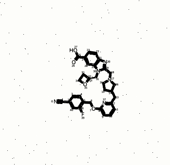 N#Cc1ccc(COc2cccc(CC3CCN(Cc4nc5ccc(C(=O)O)cc5n4C[C@@H]4CCO4)C3)n2)c(F)c1